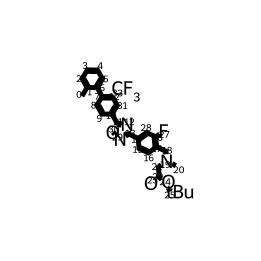 Cc1ccccc1-c1ccc(-c2nc(-c3ccc(CN(C)CC(=O)OC(C)(C)C)c(F)c3)no2)cc1C(F)(F)F